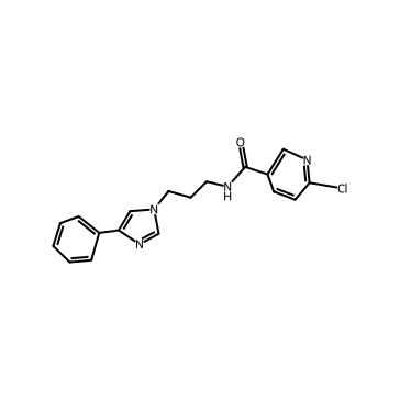 O=C(NCCCn1cnc(-c2ccccc2)c1)c1ccc(Cl)nc1